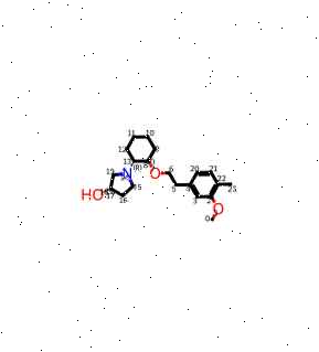 COc1cc(CCO[C@@H]2CCCC[C@H]2N2CC[C@H](O)C2)ccc1C